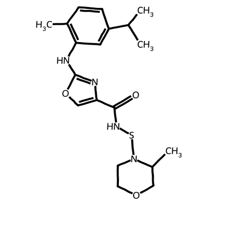 Cc1ccc(C(C)C)cc1Nc1nc(C(=O)NSN2CCOCC2C)co1